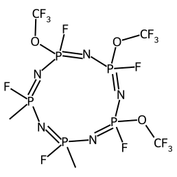 CP1(F)=NP(C)(F)=NP(F)(OC(F)(F)F)=NP(F)(OC(F)(F)F)=NP(F)(OC(F)(F)F)=N1